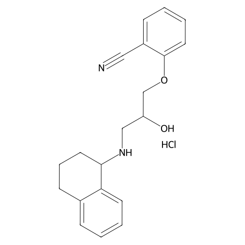 Cl.N#Cc1ccccc1OCC(O)CNC1CCCc2ccccc21